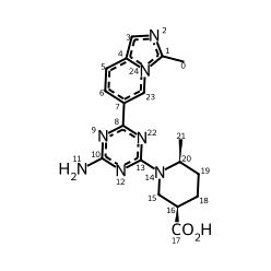 Cc1ncc2ccc(-c3nc(N)nc(N4C[C@H](C(=O)O)CC[C@@H]4C)n3)cn12